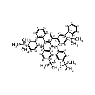 CC(C)(C)c1ccc(N2B3c4cc(C(C)(C)C)ccc4N(c4ccc(C(C)(C)C)cc4)c4c3c(cc3ccccc43)-c3cc4c(cc32)C(C)(C)c2ccccc2-4)cc1